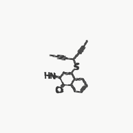 CC#CC(C#CC)SC1=CC(=N)C(=O)c2ccccc21